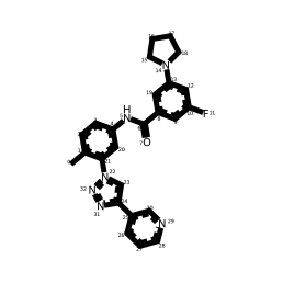 Cc1ccc(NC(=O)c2cc(F)cc(N3CCCC3)c2)cc1-n1cc(-c2cccnc2)nn1